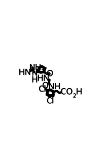 N=C(N)Nc1cccc(C(=O)NCC(=O)Nc2c(Cl)cc(Cl)cc2CCC(=O)O)c1